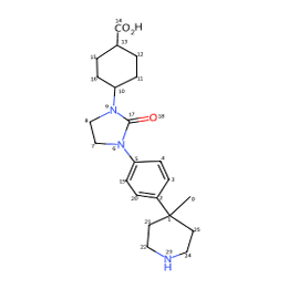 CC1(c2ccc(N3CCN(C4CCC(C(=O)O)CC4)C3=O)cc2)CCNCC1